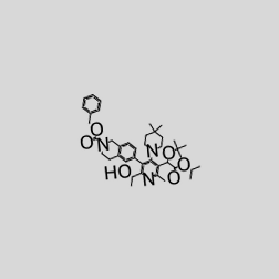 Cc1nc(C(C)O)c(-c2ccc3c(c2)CCN(C(=O)OCc2ccccc2)C3)c(N2CCC(C)(C)CC2)c1C(OC(C)(C)C)C(=O)OC(C)C